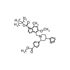 COC(=O)c1ccc([C@@H]2CC(c3cscn3)CCN2Cc2c(OC)cc(C)c3c2ccn3C(=O)OC(C)(C)C)cc1